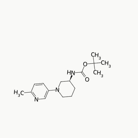 Cc1ccc(N2CCC[C@H](NC(=O)OC(C)(C)C)C2)cn1